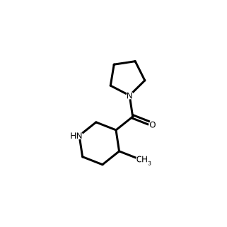 CC1CCNCC1C(=O)N1CCCC1